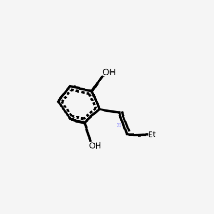 CC/C=C/c1c(O)cccc1O